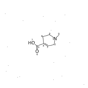 CN1CC=C(C(=O)O)CC1